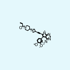 C=CC(=O)N1CCC(N2CC(C#Cc3c(-c4ccc(OC)c(OC)c4)c4c(N)ncnc4n3C)C2)CC1